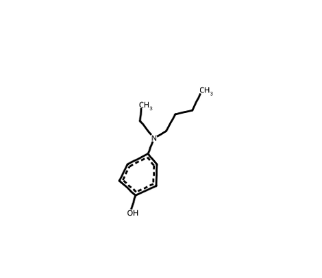 CCCCN(CC)c1ccc(O)cc1